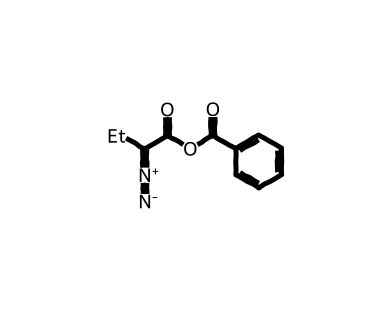 CCC(=[N+]=[N-])C(=O)OC(=O)c1ccccc1